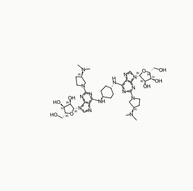 CN(C)[C@@H]1CCN(c2nc(N[C@H]3CC[C@H](Nc4nc(N5CC[C@@H](N(C)C)C5)nc5c4ncn5[C@@H]4O[C@H](CO)[C@@H](O)[C@H]4O)CC3)c3ncn([C@@H]4O[C@H](CO)[C@@H](O)[C@H]4O)c3n2)C1